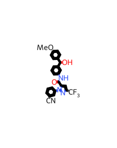 COc1ccc(C(O)c2cccc(NC(=O)c3cc(C(F)(F)F)nn3-c3cccc(C#N)c3)c2)cc1